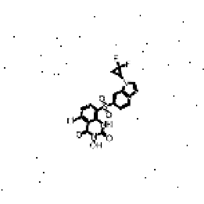 O=c1[nH]c2c(S(=O)(=O)c3ccc4ccn(C5CC5(F)F)c4c3)ccc(Cl)c2c(=O)n1O